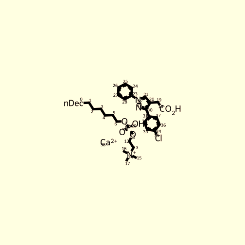 CCCCCCCCCCCCCCCCOP(=O)(O)OCC[N+](C)(C)C.O=C(O)Cc1cn(-c2ccccc2)nc1-c1ccc(Cl)cc1.[Ca+2]